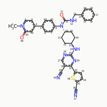 Cn1ccc(-c2ccc(N(C(=O)NCc3ccccc3)[C@H]3CC[C@H](Nc4ncc(C#N)c(-c5ccc(C#N)s5)n4)CC3)cc2)cc1=O